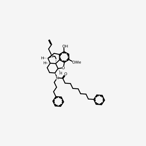 C=CCN1CC[C@]23c4c5c(O)cc(OC)c4O[C@H]2[C@@H](N(CCCc2ccccc2)C(=O)CCCCCCCc2ccccc2)CC[C@H]3[C@H]1C5